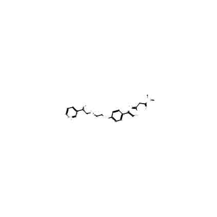 CN(C)C(=O)Cc1nc(-c2ccc(OCCNCC(O)c3cccnc3)cc2)co1